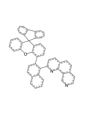 c1ccc2c(c1)Oc1c(-c3ccc4ccccc4c3-c3ccc4ccc5ccncc5c4n3)cccc1C21c2ccccc2-c2ccccc21